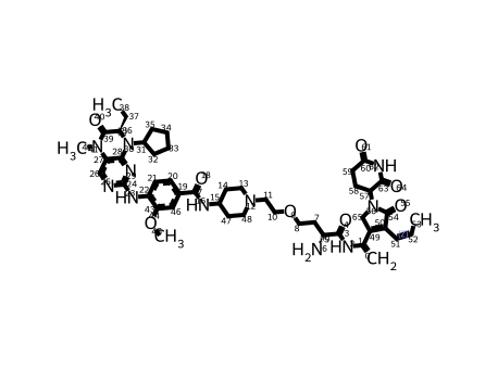 C=C(NC(=O)[C@H](N)CCOCCN1CCC(NC(=O)c2ccc(Nc3ncc4c(n3)N(C3CCCC3)[C@H](CC)C(=O)N4C)c(OC)c2)CC1)C1=C(/C=C\C)C(=O)N(C2CCC(=O)NC2=O)C1